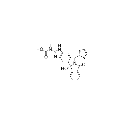 CN(C(=O)O)c1nc2cc(C3(O)c4ccccc4C(=O)N3Cc3cccs3)ccc2[nH]1